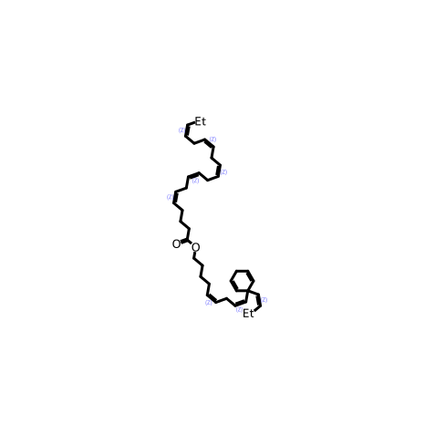 CC/C=C\C/C=C\C/C=C\C/C=C\C/C=C\CCCC(=O)OCCCC/C=C\C/C=C\C1(/C=C\CC)C=CCC=C1